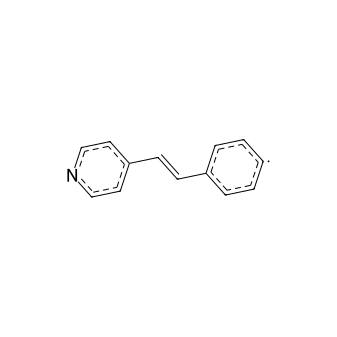 [c]1ccc(C=Cc2ccncc2)cc1